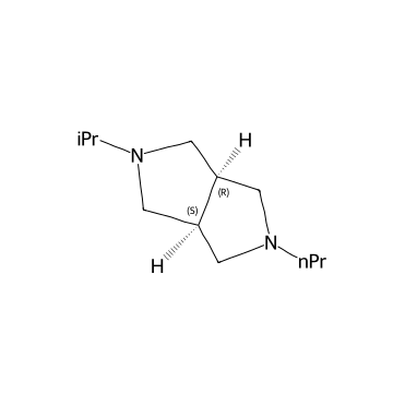 CCCN1C[C@@H]2CN(C(C)C)C[C@@H]2C1